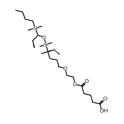 CCCC[Si](C)(C)C(CC)O[Si](C)(C)C(C)(CC)CCCOCCOC(=O)CCCC(=O)O